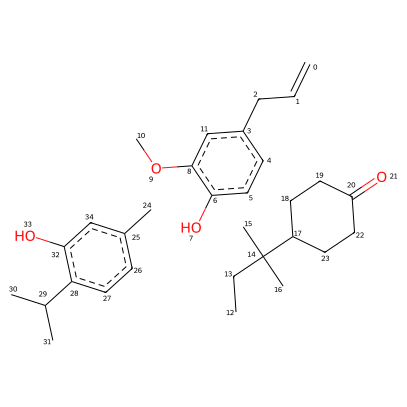 C=CCc1ccc(O)c(OC)c1.CCC(C)(C)C1CCC(=O)CC1.Cc1ccc(C(C)C)c(O)c1